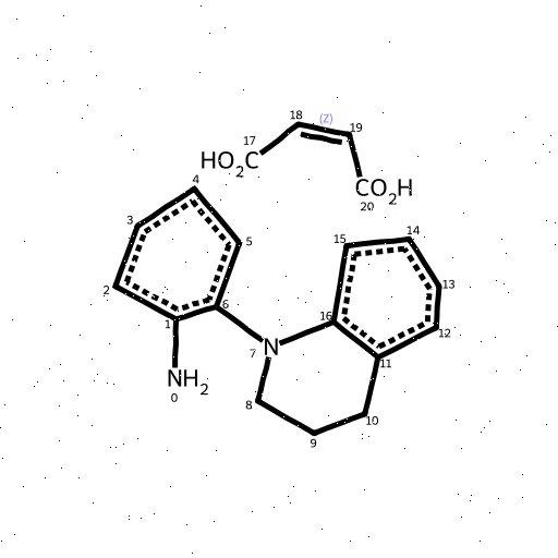 Nc1ccccc1N1CCCc2ccccc21.O=C(O)/C=C\C(=O)O